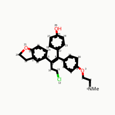 CNCCOc1ccc(C(=C(CCCl)c2ccc3c(c2)CCO3)c2ccc(O)cc2)cc1